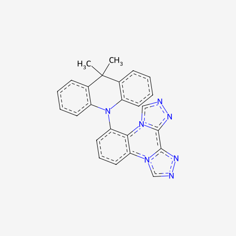 CC1(C)c2ccccc2N(c2cccc3c2n2cnnc2c2nncn32)c2ccccc21